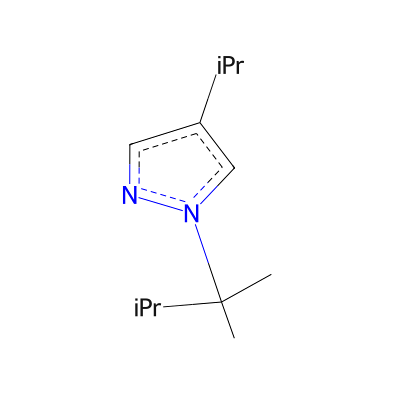 CC(C)c1cnn(C(C)(C)C(C)C)c1